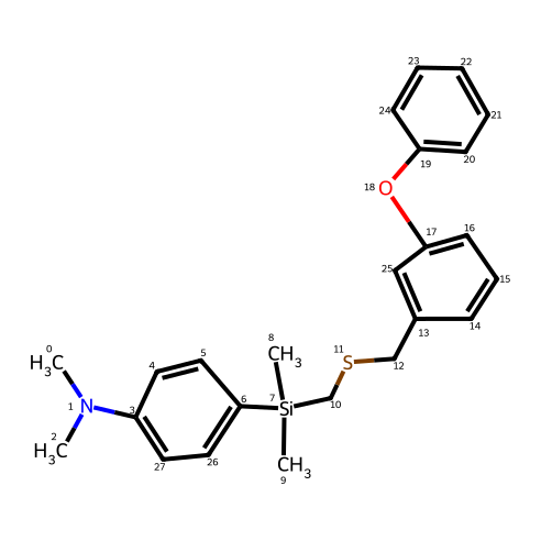 CN(C)c1ccc([Si](C)(C)CSCc2cccc(Oc3ccccc3)c2)cc1